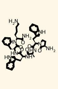 C[C@H](NC(=O)[C@@H](Cc1c[nH]c2ccccc12)N1CC[C@@H](N)C1=O)C(=O)N[C@@H](Cc1c[nH]c2ccccc12)C(=O)N[C@H](Cc1ccccc1)C(=O)N[C@@H](CCCCN)C(N)=O